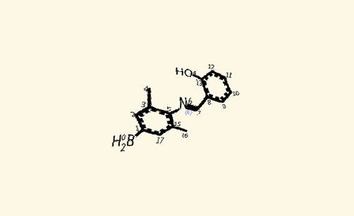 Bc1cc(C)c(/N=C/c2ccccc2O)c(C)c1